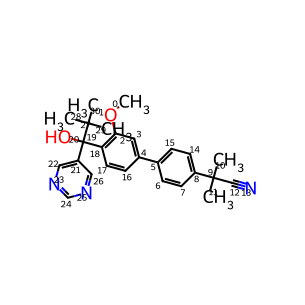 COc1cc(-c2ccc(C(C)(C)C#N)cc2)ccc1C(O)(c1cncnc1)C(C)(C)C